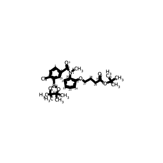 CN(C(=O)c1ccc(Cl)c(B2OC(C)(C)C(C)(C)O2)c1)c1ccccc1OCCCC(=O)OC(C)(C)C